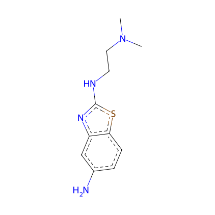 CN(C)CCNc1nc2cc(N)ccc2s1